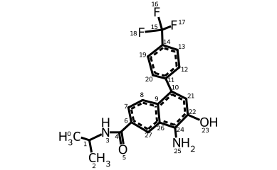 CC(C)NC(=O)c1ccc2c(-c3ccc(C(F)(F)F)cc3)cc(O)c(N)c2c1